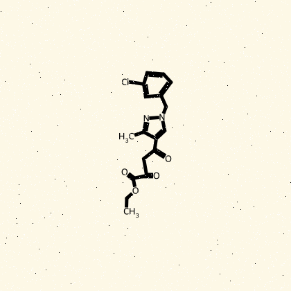 CCOC(=O)C(=O)CC(=O)c1cn(Cc2cccc(Cl)c2)nc1C